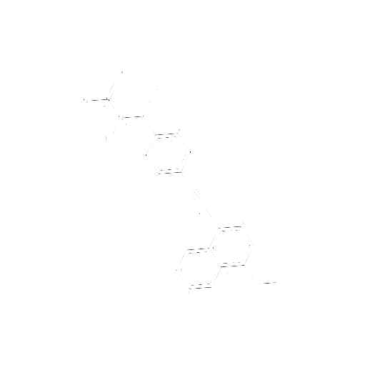 COc1ccc(C#Cc2ccc(C(C)N(O)C(N)=O)cc2)c2ccccc12